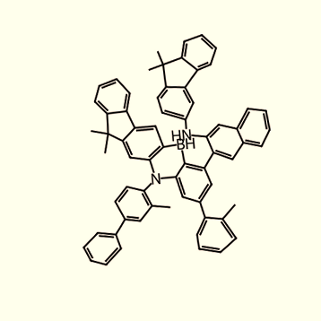 Cc1ccccc1-c1cc(-c2cc3ccccc3cc2Nc2ccc3c(c2)-c2ccccc2C3(C)C)c2c(c1)N(c1ccc(-c3ccccc3)cc1C)c1cc3c(cc1B2)-c1ccccc1C3(C)C